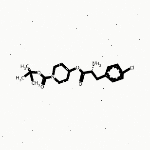 CC(C)(C)OC(=O)N1CCC(OC(=O)[C@H](N)Cc2ccc(Cl)cc2)CC1